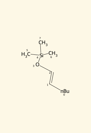 CCCCC=CO[Si](C)(C)C